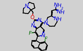 N=C(N)/C=C1/CN(c2nc(OCC34CCCN3CCC4)nc3c(F)c(-c4cccc5cccc(F)c45)ncc23)CCCN1